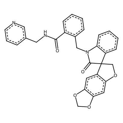 O=C(NCc1cccnc1)c1ccccc1CN1C(=O)C2(COc3cc4c(cc32)OCO4)c2ccccc21